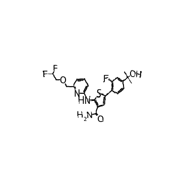 CC(C)(O)c1ccc(-c2cc(C(N)=O)c(Nc3cccc(COCC(F)F)n3)s2)c(F)c1